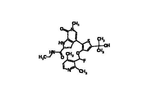 CCNC(=O)c1cc2c(-c3sc(C(C)(C)O)cc3OC(F)c3c(C)ccnc3C)cn(C)c(=O)c2[nH]1